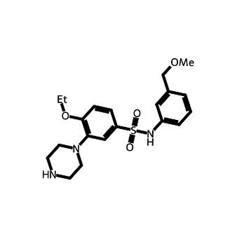 CCOc1ccc(S(=O)(=O)Nc2cccc(COC)c2)cc1N1CCNCC1